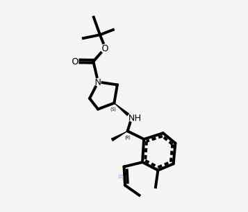 C/C=C\c1c(C)cccc1[C@@H](C)N[C@H]1CCN(C(=O)OC(C)(C)C)C1